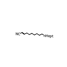 CCCCCCCCCCCCCC/C=C/C#N